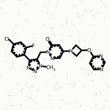 Cn1nnc(-c2ccc(Cl)cc2F)c1Cn1ncc(N2CC(Oc3ccncn3)C2)cc1=O